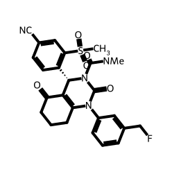 CNC(=O)N1C(=O)N(c2cccc(CF)c2)C2=C(C(=O)CCC2)[C@@H]1c1ccc(C#N)cc1S(C)(=O)=O